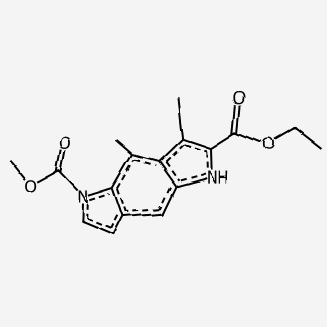 CCOC(=O)c1[nH]c2cc3ccn(C(=O)OC)c3c(C)c2c1C